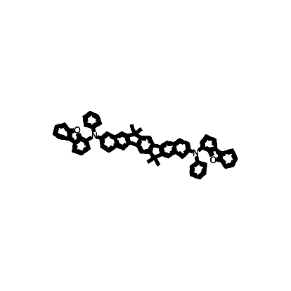 CC1(C)c2cc3c(cc2-c2cc4ccc(N(c5ccccc5)c5cccc6c5oc5ccccc56)cc4cc21)C(C)(C)c1cc2cc(N(c4ccccc4)c4cccc5c4oc4ccccc45)ccc2cc1-3